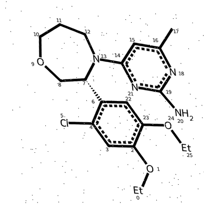 CCOc1cc(Cl)c([C@@H]2COCCCN2c2cc(C)nc(N)n2)cc1OCC